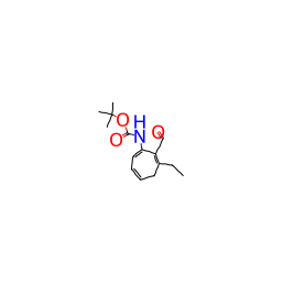 CCC1=C(C=O)C(NC(=O)OC(C)(C)C)=CC=CC1